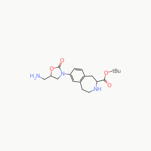 CC(C)(C)OC(=O)C1Cc2ccc(N3CC(CN)OC3=O)cc2CCN1